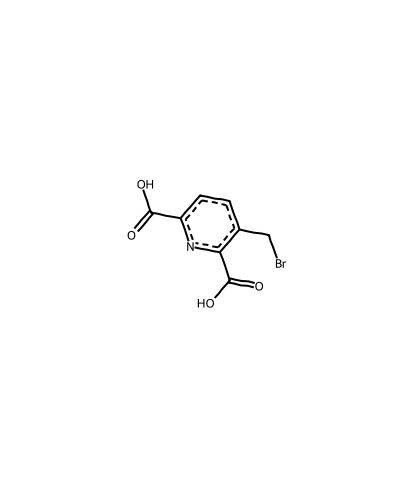 O=C(O)c1ccc(CBr)c(C(=O)O)n1